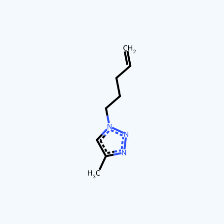 C=CCCCn1cc(C)nn1